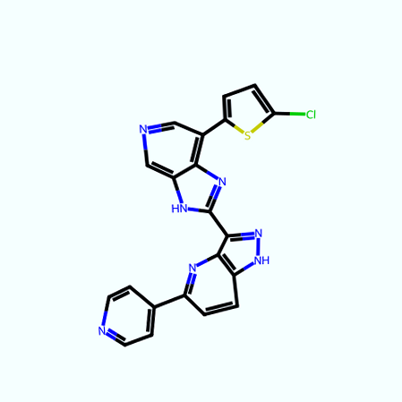 Clc1ccc(-c2cncc3[nH]c(-c4n[nH]c5ccc(-c6ccncc6)nc45)nc23)s1